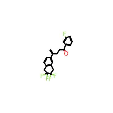 C=C(CCC(=O)c1cccc(F)c1)c1ccc2c(c1)CC(F)(F)C(F)(F)C2